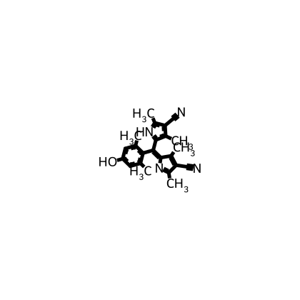 CC1=NC(=C(c2[nH]c(C)c(C#N)c2C)c2c(C)cc(O)cc2C)C(C)=C1C#N